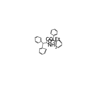 CCOC(=O)C(N)C(c1ccccc1)c1ccccc1.O=C(c1ccccc1)c1ccccc1